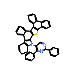 C1=Cc2c(n(-c3cnc(-c4ccccc4)nc3-c3ccccc3)c3c4sc5c6ccccc6c6ccccc6c5c4c4ccccc4c23)CC1